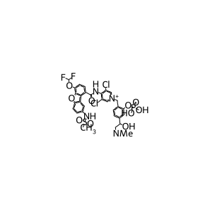 CNCC(O)c1ccc(C[n+]2cc(Cl)c(NC(=O)c3ccc(OC(F)F)c4oc5ccc(NS(C)(=O)=O)cc5c34)c(Cl)c2)c(OP(=O)(O)O)c1